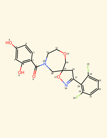 O=C(c1ccc(O)cc1O)N1CCOCC2(CC(c3c(F)cccc3F)=NO2)C1